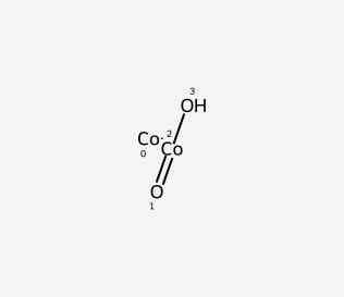 [Co].[O]=[Co][OH]